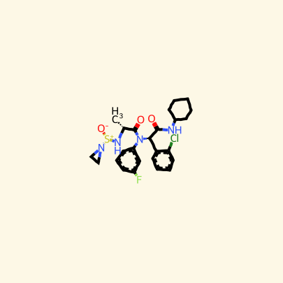 C[C@@H](N[S+]([O-])N1CC1)C(=O)N(c1cccc(F)c1)[C@@H](C(=O)NC1CCCCC1)c1ccccc1Cl